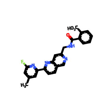 Cc1cc(F)nc(-c2ccc3cnc(CNC(=O)c4ccccc4C(=O)O)cc3n2)c1